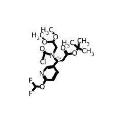 COC(CN(C(=O)Cl)[C@@H](CC(=O)OC(C)(C)C)c1ccc(OC(F)F)nc1)OC